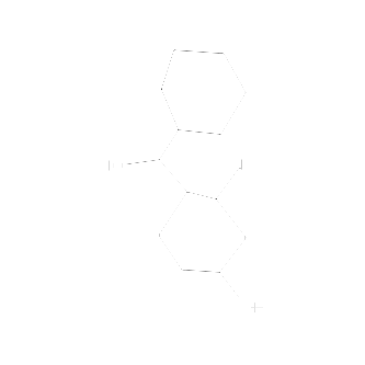 OC1CCC(C(O)C2CCCCC2)C(I)C1